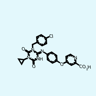 O=C(O)c1cc(Oc2ccc(/N=c3\[nH]c(=O)n(C4CC4)c(=O)n3Cc3ccc(Cl)cc3)cc2)ccn1